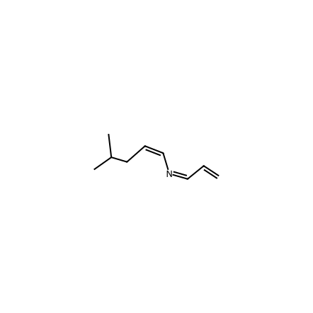 C=C/C=N\C=C/CC(C)C